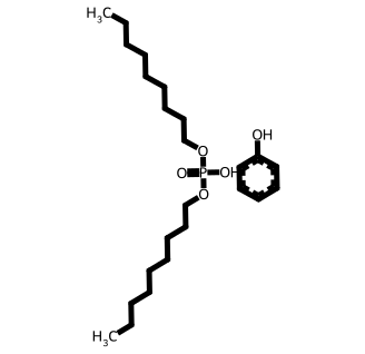 CCCCCCCCCOP(=O)(O)OCCCCCCCCC.Oc1ccccc1